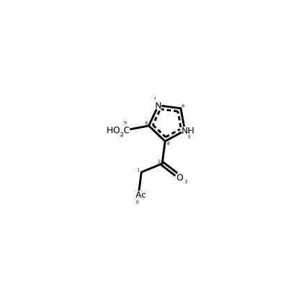 CC(=O)CC(=O)c1[nH]cnc1C(=O)O